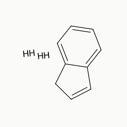 C1=Cc2ccccc2C1.[HH].[HH]